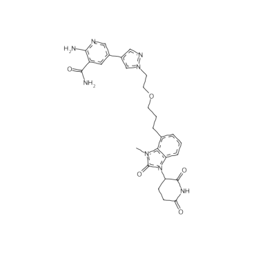 Cn1c(=O)n(C2CCC(=O)NC2=O)c2cccc(CCCOCCn3cc(-c4cnc(N)c(C(N)=O)c4)cn3)c21